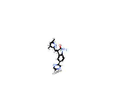 CSc1cnc(-c2ccc3c(c2)/C(=C/c2[nH]c(C)cc2C)C(=O)N3)cn1